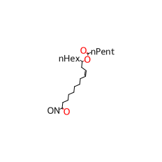 CCCCCCC(C/C=C\CCCCCCCC(=O)N=O)OC(=O)CCCCC